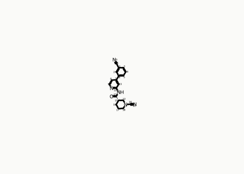 N#Cc1cccc(-c2ccnc(NC(=O)[C@H]3CCCN(C#N)C3)c2)c1